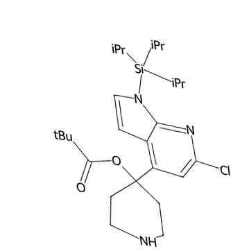 CC(C)[Si](C(C)C)(C(C)C)n1ccc2c(C3(OC(=O)C(C)(C)C)CCNCC3)cc(Cl)nc21